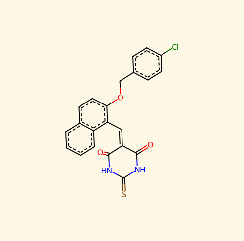 O=C1NC(=S)NC(=O)C1=Cc1c(OCc2ccc(Cl)cc2)ccc2ccccc12